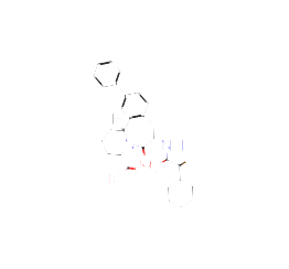 O=C(N[C@H]1Cc2ccc(-c3ccccc3)cc2[C@H]2CCC[C@@H](C(=O)O)N2C1=O)C(=S)C1CCCCC1